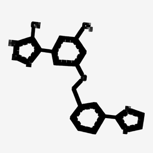 N#Cc1[nH]nnc1-c1cc(OCc2cccc(-c3nccs3)c2)cc(C(F)(F)F)c1